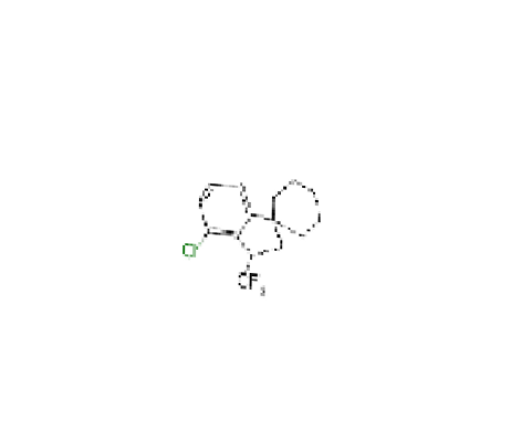 FC(F)(F)C1CC2(CCCCC2)c2cccc(Cl)c21